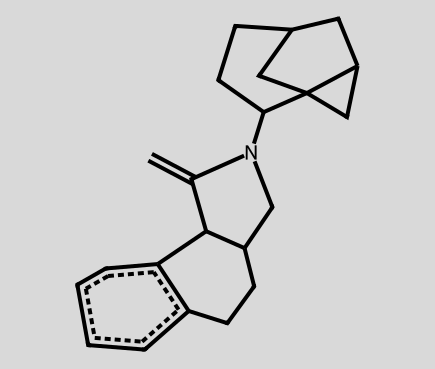 C=C1C2c3ccccc3CCC2CN1C1CCC2CC3CC31C2